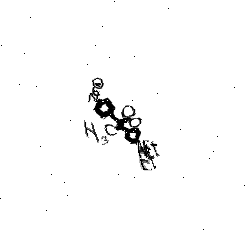 CCN(CC)c1ccc2c(C)c(-c3ccc(N=C=O)cc3)c(=O)oc2c1